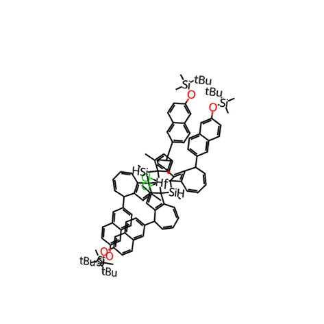 CC1=CC2=C(C=CC=CC2c2ccc3cc(O[Si](C)(C)C(C)(C)C)ccc3c2)[C]12[SiH](C)[C]1(C(C)=CC3=C1C=CC=CC3c1ccc3cc(O[Si](C)(C)C(C)(C)C)ccc3c1)[Hf]21([Cl])([Cl])[C]2(C(C)=CC3=C2C=CC=CC3c2ccc3cc(O[Si](C)(C)C(C)(C)C)ccc3c2)[SiH](C)[C]12C(C)=CC1=C2C=CC=CC1c1ccc2cc(O[Si](C)(C)C(C)(C)C)ccc2c1